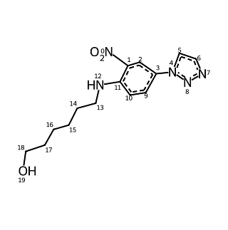 O=[N+]([O-])c1cc(-n2ccnn2)ccc1NCCCCCCO